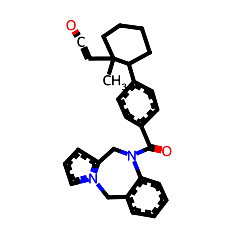 CC1(C=C=O)CCCCC1c1ccc(C(=O)N2Cc3cccn3Cc3ccccc32)cc1